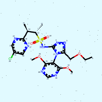 CCOCc1nnc(NS(=O)(=O)[C@@H](C)[C@H](C)c2ncc(Cl)cn2)n1-c1c(OC)ncnc1OC